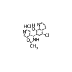 CC(=O)NC(c1ccncc1)c1cc(Cl)c2cccnc2c1O.Cl